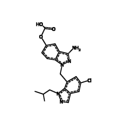 CC(C)Cn1ncc2cc(Cl)cc(Cn3nc(N)c4cc(OC(=O)O)ccc43)c21